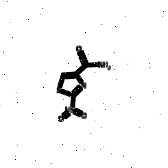 NC(=O)c1csc([SH](=O)=O)n1